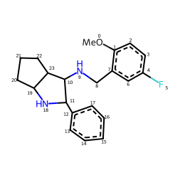 COc1ccc(F)cc1CNC1C(c2ccccc2)NC2CCCC21